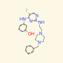 Oc1cccc(Nc2nc(NCCN3CCN(Cc4ccccc4)CC3)ncc2F)c1